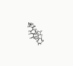 C=C(OC1(c2ccccc2)CCCC1)c1ccc(C(C)CN)cc1